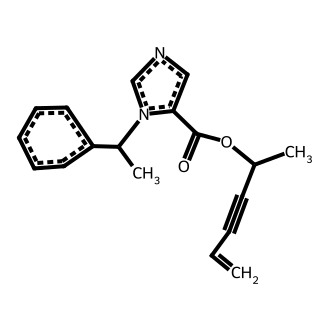 C=CC#CC(C)OC(=O)c1cncn1C(C)c1ccccc1